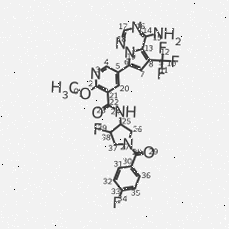 COc1ncc(-c2cc(C(F)(F)F)c3c(N)ncnn23)cc1C(=O)NC1CN(C(=O)c2ccc(F)cc2)CC1F